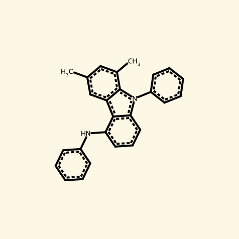 Cc1cc(C)c2c(c1)c1c(Nc3ccccc3)cccc1n2-c1ccccc1